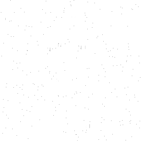 Clc1ccc(-c2cc3c(NC4=CC=COC4)nncc3s2)cc1